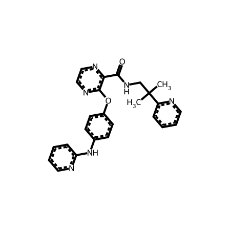 CC(C)(CNC(=O)c1nccnc1Oc1ccc(Nc2ccccn2)cc1)c1ccccn1